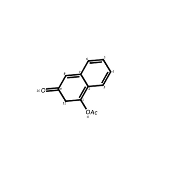 CC(=O)OC1=c2ccccc2=CC(=O)C1